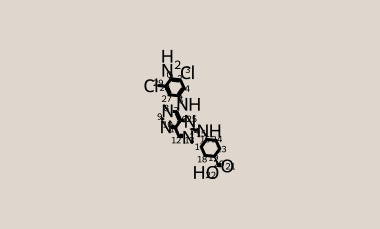 Nc1c(Cl)cc(Nc2ncnc3cnc(N[C@H]4CC[C@H](C(=O)O)CC4)nc23)cc1Cl